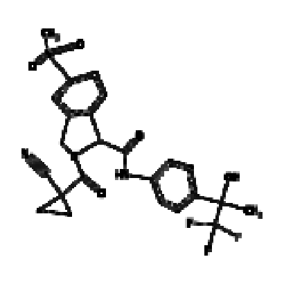 CC(O)(c1ccc(NC(=O)C2c3ccc(S(C)(=O)=O)cc3CN2C(=O)C2(C#N)CC2)cc1)C(F)(F)F